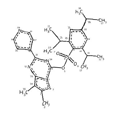 Cc1sc2c(OS(=O)(=O)c3c(C(C)C)cc(C(C)C)cc3C(C)C)nc(-c3ccncc3)nc2c1C